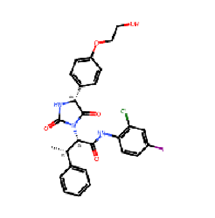 C[C@@H](c1ccccc1)[C@@H](C(=O)Nc1ccc(I)cc1Cl)N1C(=O)N[C@H](c2ccc(OCCO)cc2)C1=O